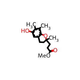 COC(=O)CCC1(C)CCc2cc(O)c(C)c(C)c2O1